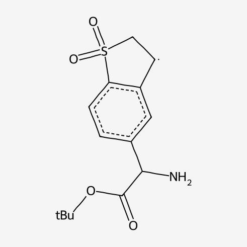 CC(C)(C)OC(=O)C(N)c1ccc2c(c1)[CH]CS2(=O)=O